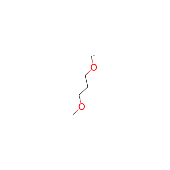 [CH2]OCCCOC